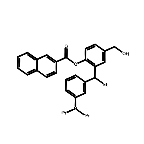 CCC(c1cccc(N(C(C)C)C(C)C)c1)c1cc(CO)ccc1OC(=O)c1ccc2ccccc2c1